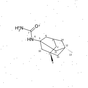 C[C@]12CC3CC(NC(N)=O)(C1)C[C@@](C)(C3)C2